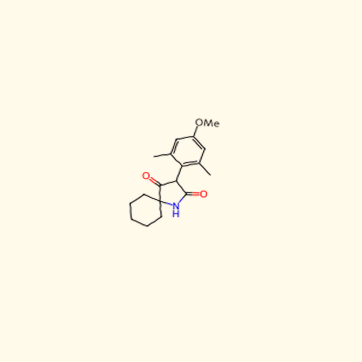 COc1cc(C)c(C2C(=O)NC3(CCCCC3)C2=O)c(C)c1